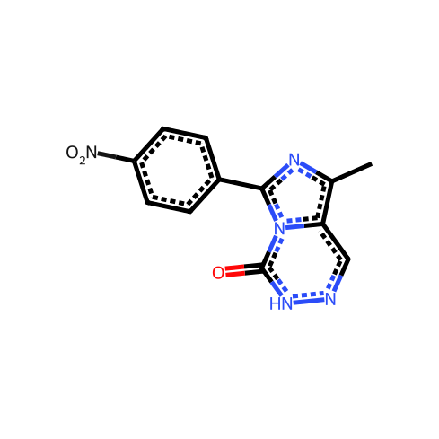 Cc1nc(-c2ccc([N+](=O)[O-])cc2)n2c(=O)[nH]ncc12